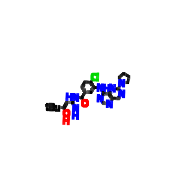 CC(C)(C)/C(O)=C/C(=N)NC(=O)c1ccc(Cl)c(Nc2ncnc3cnc(N4CCCC4)nc23)c1